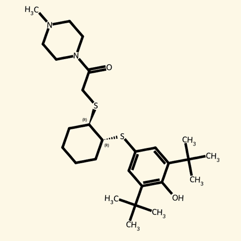 CN1CCN(C(=O)CS[C@@H]2CCCC[C@H]2Sc2cc(C(C)(C)C)c(O)c(C(C)(C)C)c2)CC1